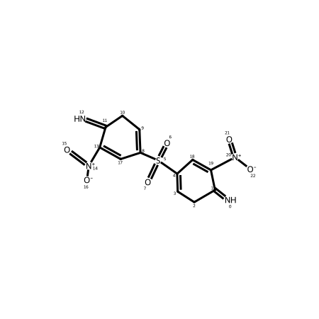 N=C1CC=C(S(=O)(=O)C2=CCC(=N)C([N+](=O)[O-])=C2)C=C1[N+](=O)[O-]